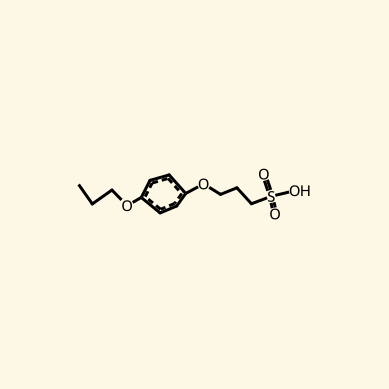 CCCOc1ccc(OCCCS(=O)(=O)O)cc1